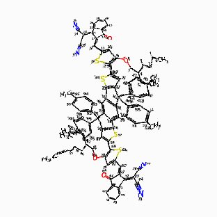 CCCCC(CC)COc1cc(/C=C2\C(=O)c3ccccc3C2=C(C#N)C#N)sc1-c1cc2c(s1)-c1cc3c(cc1C2(c1ccc(C)cc1)c1ccc(C)cc1)-c1sc(-c2sc(/C=C4\C(=O)c5ccccc5C4=C(C#N)C#N)cc2OCC(CC)CCCC)cc1C3(c1ccc(C)cc1)c1ccc(C)cc1